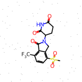 CS(=O)(=O)c1ccc(C(F)(F)F)c2c1CN(C1CCC(=O)NC1=O)C2=O